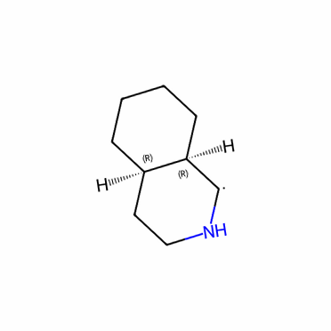 [CH]1NCC[C@H]2CCCC[C@@H]12